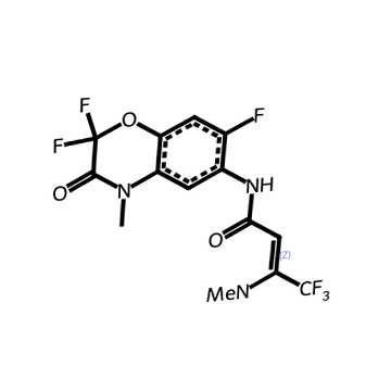 CN/C(=C\C(=O)Nc1cc2c(cc1F)OC(F)(F)C(=O)N2C)C(F)(F)F